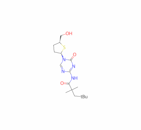 CC(C)(C)CC(C)(C)C(=O)Nc1ncn([C@H]2CC[C@@H](CO)S2)c(=O)n1